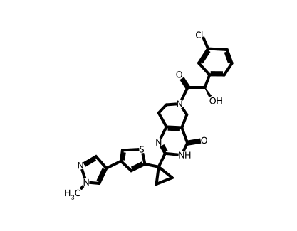 Cn1cc(-c2csc(C3(c4nc5c(c(=O)[nH]4)CN(C(=O)[C@H](O)c4cccc(Cl)c4)CC5)CC3)c2)cn1